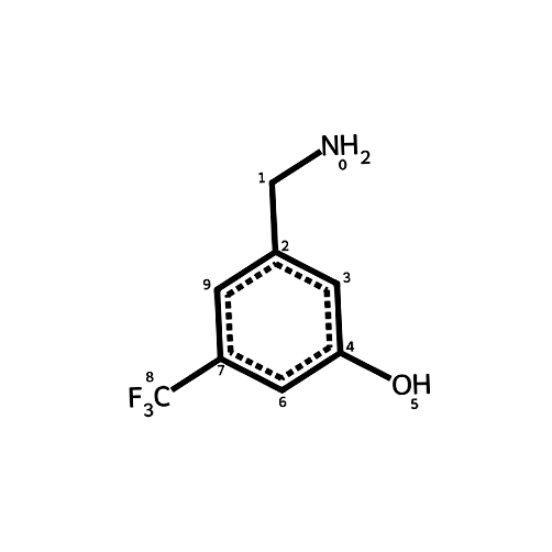 NCc1cc(O)cc(C(F)(F)F)c1